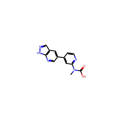 CN(C(=O)O)c1cc(-c2cnc3[nH]ncc3c2)ccn1